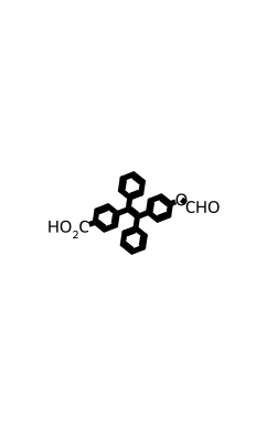 O=COc1ccc(/C(=C(\c2ccccc2)c2ccc(C(=O)O)cc2)c2ccccc2)cc1